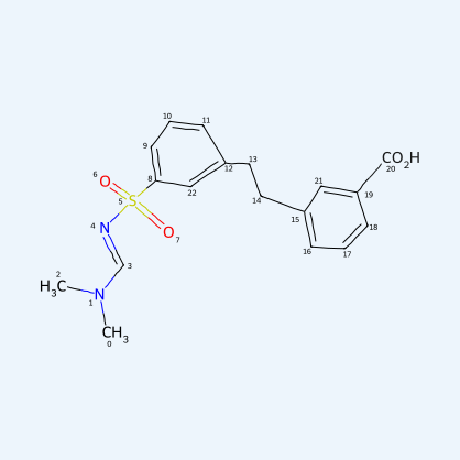 CN(C)C=NS(=O)(=O)c1cccc(CCc2cccc(C(=O)O)c2)c1